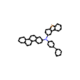 c1ccc(-c2ccc(N(c3ccc4c(ccc5c6ccccc6ccc45)c3)c3ccc4sc5ccccc5c4c3)cc2)cc1